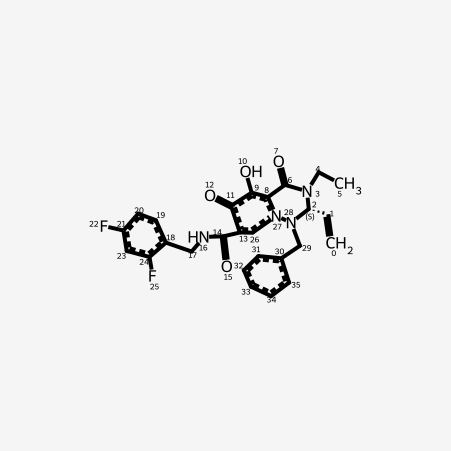 C=C[C@H]1N(CC)C(=O)c2c(O)c(=O)c(C(=O)NCc3ccc(F)cc3F)cn2N1Cc1ccccc1